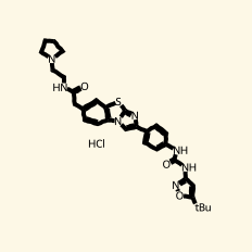 CC(C)(C)c1cc(NC(=O)Nc2ccc(-c3cn4c(n3)sc3cc(CC(=O)NCCN5CCCC5)ccc34)cc2)no1.Cl